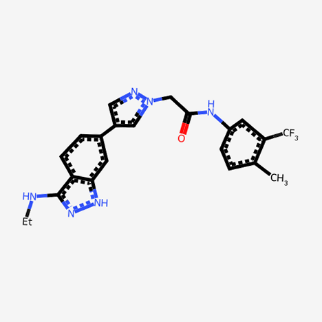 CCNc1n[nH]c2cc(-c3cnn(CC(=O)Nc4ccc(C)c(C(F)(F)F)c4)c3)ccc12